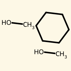 C1CCCCC1.CO.CO